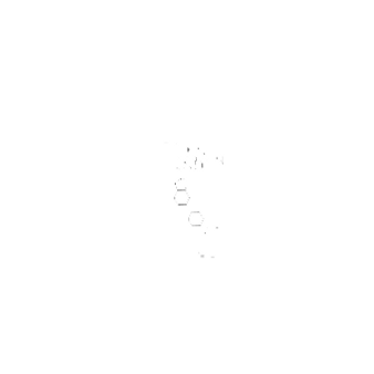 N#CC1(NC(=O)C2(NC(=O)c3cc4ccc(-c5ccc(C6(O)CCS(O)(O)CC6)cc5)cc4o3)CCC(F)(F)CC2)CC1